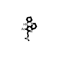 CC(=O)c1c(CCN(C)C)nc2cccnc2c1Nc1ccccc1